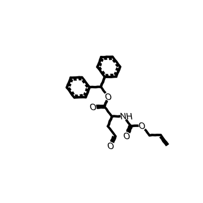 C=CCOC(=O)NC(CC=O)C(=O)OC(c1ccccc1)c1ccccc1